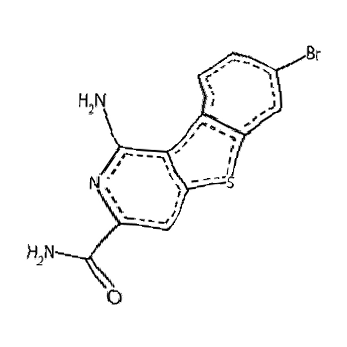 NC(=O)c1cc2sc3cc(Br)ccc3c2c(N)n1